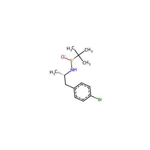 C[C@@H](Cc1ccc(Br)cc1)N[S+]([O-])C(C)(C)C